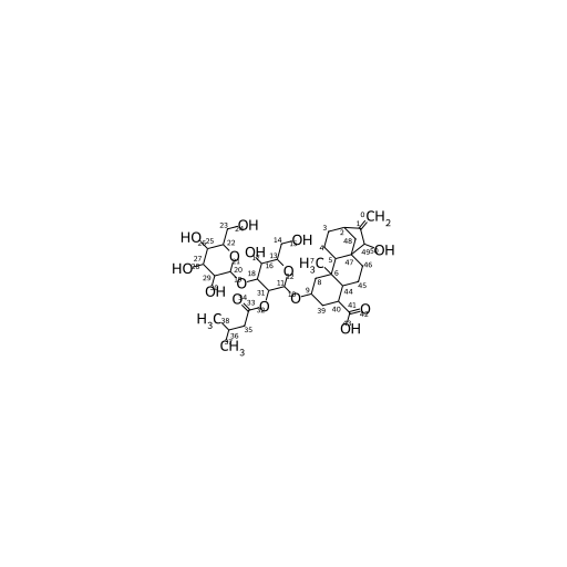 C=C1C2CCC3C4(C)CC(OC5OC(CO)C(O)C(OC6OC(CO)C(O)C(O)C6O)C5OC(=O)CC(C)C)CC(C(=O)O)C4CCC3(C2)C1O